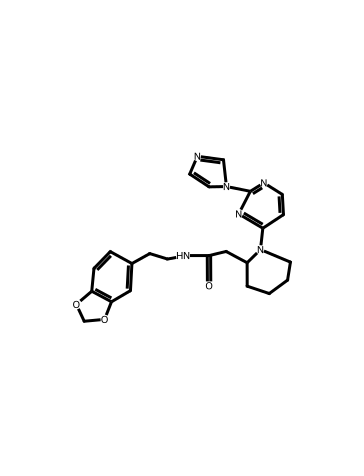 O=C(CC1CCCCN1c1ccnc(-n2ccnc2)n1)NCCc1ccc2c(c1)OCO2